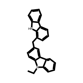 CCn1c2ccccc2c2cc(Cc3cccc4c3[nH]c3ccccc34)ccc21